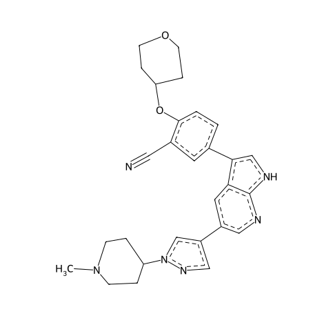 CN1CCC(n2cc(-c3cnc4[nH]cc(-c5ccc(OC6CCOCC6)c(C#N)c5)c4c3)cn2)CC1